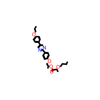 CCCCOC(C)C(=O)OC(C)COc1ccc(-c2ncc(-c3ccc(OCCC)cc3)cn2)cc1